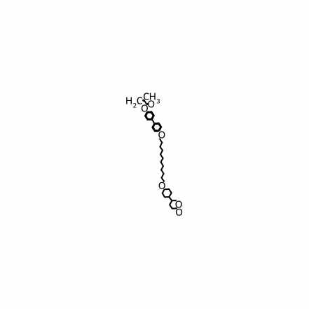 C=C(C)C(=O)Oc1ccc(-c2ccc(OCCCCCCCCCCCCOC3CCC(C4CCC(=O)OC4)CC3)cc2)cc1